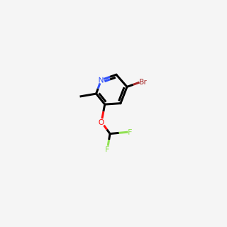 Cc1ncc(Br)cc1OC(F)F